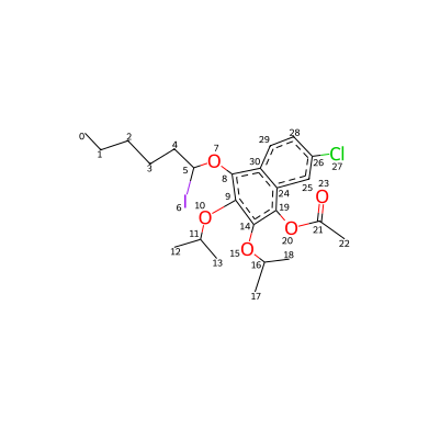 CCCCCC(I)Oc1c(OC(C)C)c(OC(C)C)c(OC(C)=O)c2cc(Cl)ccc12